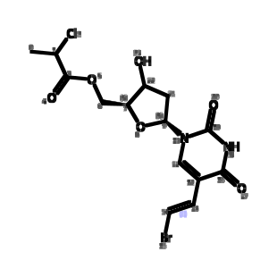 CC(Cl)C(=O)OC[C@@H]1O[C@H](n2cc(/C=C/Br)c(=O)[nH]c2=O)CC1O